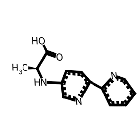 C[C@H](Nc1ccc(-c2ccccn2)nc1)C(=O)O